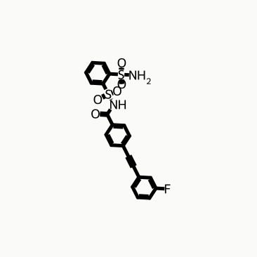 NS(=O)(=O)c1ccccc1S(=O)(=O)NC(=O)c1ccc(C#Cc2cccc(F)c2)cc1